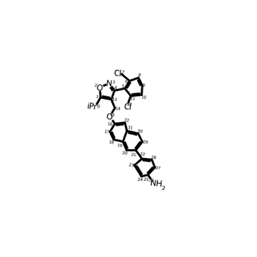 CC(C)c1onc(-c2c(Cl)cccc2Cl)c1COc1ccc2cc(-c3ccc(N)cc3)ccc2c1